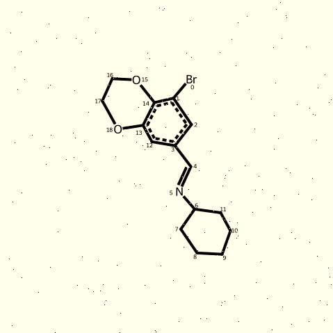 Brc1cc(C=NC2CCCCC2)cc2c1OCCO2